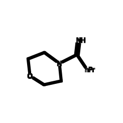 CCCC(=N)N1CCOCC1